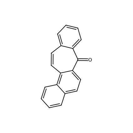 O=c1c2ccccc2ccc2c1ccc1ccccc12